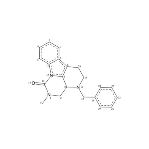 CN1CC2c3c(c4ccccc4n3C1=O)CCN2Cc1ccccc1